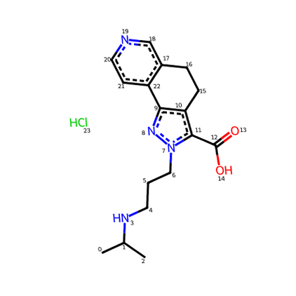 CC(C)NCCCn1nc2c(c1C(=O)O)CCc1cnccc1-2.Cl